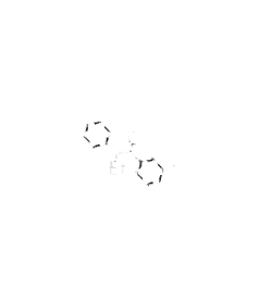 CCC(c1ccccc1)C([O])c1ccccc1